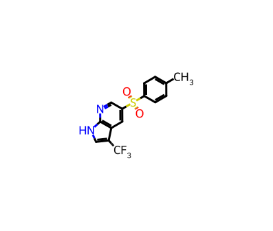 Cc1ccc(S(=O)(=O)c2cnc3[nH]cc(C(F)(F)F)c3c2)cc1